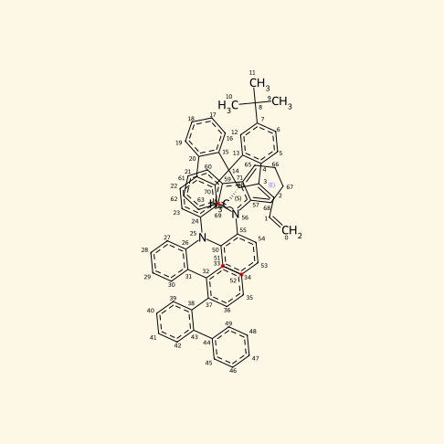 C=C/C=C1/c2ccc(C(C)(C)C)cc2C2(c3ccccc3-c3ccc(N(c4ccccc4-c4ccccc4-c4ccccc4-c4ccccc4)c4ccccc4-n4c5c(c6ccccc64)=CCCC=5)cc32)[C@H]1C